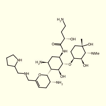 CN[C@@H]1[C@@H](O)[C@@H](O[C@H]2[C@H](NC(=O)[C@@H](O)CCN)C[C@H](N)C([C@H]3OC(CNCC4CCCN4)=CC[C@H]3N)[C@@H]2O)CC[C@]1(C)O